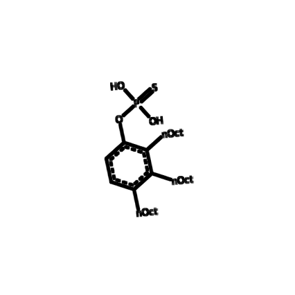 CCCCCCCCc1ccc(OP(O)(O)=S)c(CCCCCCCC)c1CCCCCCCC